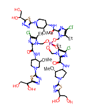 CCc1c(Cl)nc(C(=O)N[C@@H]2CCN(c3nnc(C(O)CO)s3)C[C@@H]2OC)n1COP(=O)(OCn1c(C(=O)N[C@@H]2CCN(c3nnc(C(O)CO)s3)C[C@@H]2OC)nc(Cl)c1CC)OCn1c(C(=O)N[C@@H]2CCN(c3nnc(C(O)CO)s3)C[C@@H]2OC)nc(Cl)c1CC